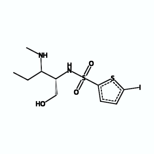 CCC(NC)[C@@H](CO)NS(=O)(=O)c1ccc(I)s1